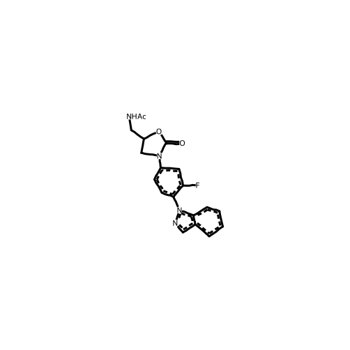 CC(=O)NCC1CN(c2ccc(-n3ncc4ccccc43)c(F)c2)C(=O)O1